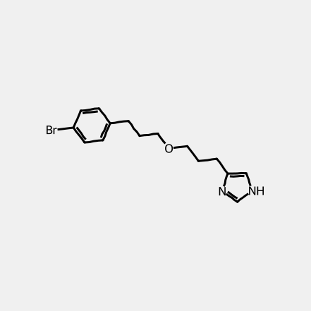 Brc1ccc(CCCOCCCc2c[nH]cn2)cc1